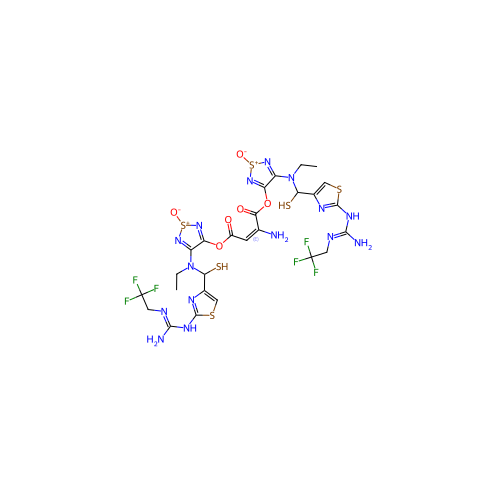 CCN(c1n[s+]([O-])nc1OC(=O)/C=C(/N)C(=O)Oc1n[s+]([O-])nc1N(CC)C(S)c1csc(NC(N)=NCC(F)(F)F)n1)C(S)c1csc(NC(N)=NCC(F)(F)F)n1